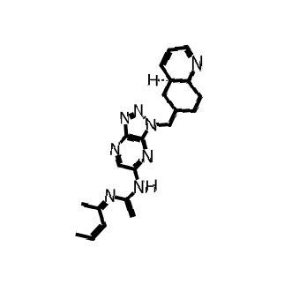 C=C(/N=C(C)\C=C/C)Nc1cnc2nnn(CC3CCC4N=CC=C[C@@H]4C3)c2n1